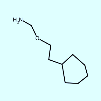 NCOCCC1CCCCC1